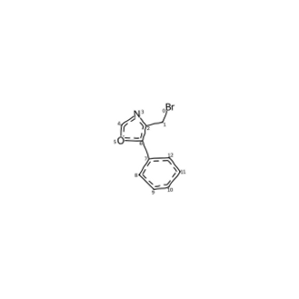 BrCc1ncoc1-c1ccccc1